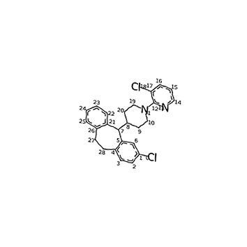 Clc1ccc2c(c1)C(C1CCN(c3ncccc3Cl)CC1)c1ccccc1CC2